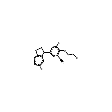 N#Cc1cc(C2CCc3ccc(O)cc32)cc(Cl)c1OCCCl